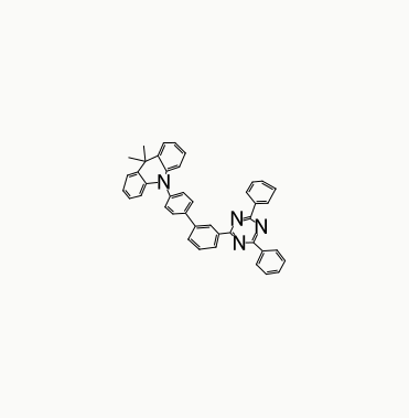 CC1(C)c2ccccc2N(c2ccc(-c3cccc(-c4nc(-c5ccccc5)nc(-c5ccccc5)n4)c3)cc2)c2ccccc21